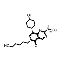 CC[C@H](C)Nc1ncc2c(=O)n(CCCCCO)cc([C@H]3CC[C@H](O)CC3)c2n1